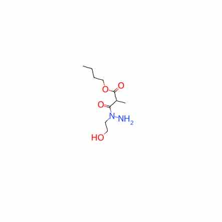 CCCCOC(=O)C(C)C(=O)N(N)CCO